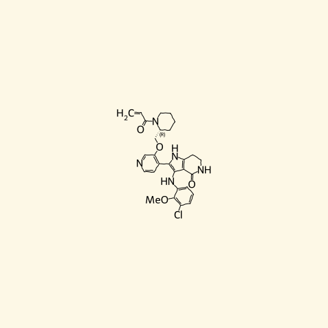 C=CC(=O)N1CCCC[C@@H]1COc1cnccc1-c1[nH]c2c(c1Nc1cccc(Cl)c1OC)C(=O)NCC2